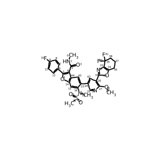 CNC(=O)c1c(-c2ccc(F)cc2)oc2cc(N(C)S(C)(=O)=O)c(-c3cnc(OC)c(-c4nc5c(o4)CCCC5(F)F)c3)cc12